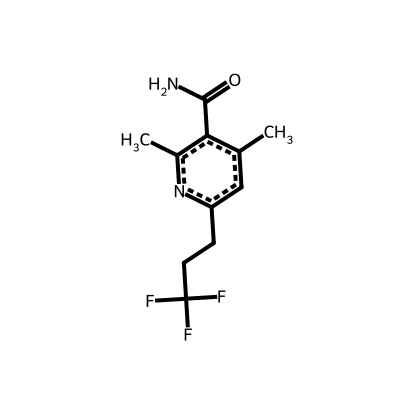 Cc1cc(CCC(F)(F)F)nc(C)c1C(N)=O